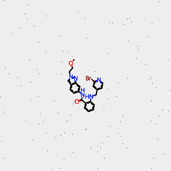 COCCn1cc2ccc(NC(=O)c3ccccc3NCc3ccnc(Br)c3)cc2n1